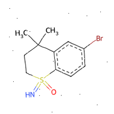 CC1(C)CCS(=N)(=O)c2ccc(Br)cc21